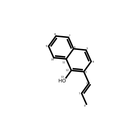 CC=Cc1ccc2ccccc2c1O